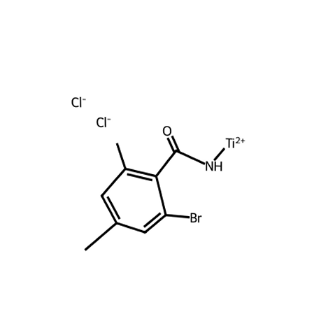 Cc1cc(C)c(C(=O)[NH][Ti+2])c(Br)c1.[Cl-].[Cl-]